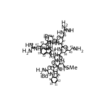 CC[C@H](C)[C@H](NC(=O)[C@H](Cc1ccccc1)NC(=O)[C@H](CCSC)NC(=O)[C@H](Cc1c[nH]c2ccccc12)NC(=O)[C@H](CCCCN)NC(=O)[C@H](CCCNC(=N)N)NC(=O)[C@H](CC(C)C)NC(=O)[C@@H](C)CCCNC(=N)N)C(N)=O